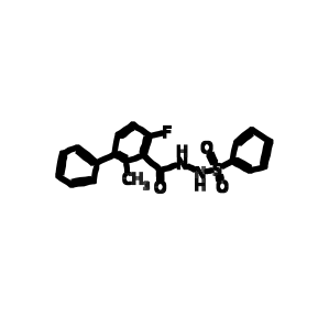 Cc1c(-c2ccccc2)ccc(F)c1C(=O)NNS(=O)(=O)c1ccccc1